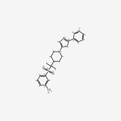 CC(C)(C1CCN(c2nnc(-c3cccnc3)s2)CC1)S(=O)(=O)c1cccc(C(F)(F)F)c1